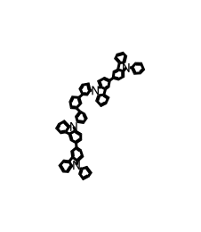 c1ccc(-n2c3ccccc3c3cc(-c4ccc5c(c4)c4ccccc4n5-c4cccc(-c5cccc(-c6cccc(-n7c8ccccc8c8cc(-c9ccc%10c(c9)c9ccccc9n%10-c9ccccc9)ccc87)c6)c5)c4)ccc32)cc1